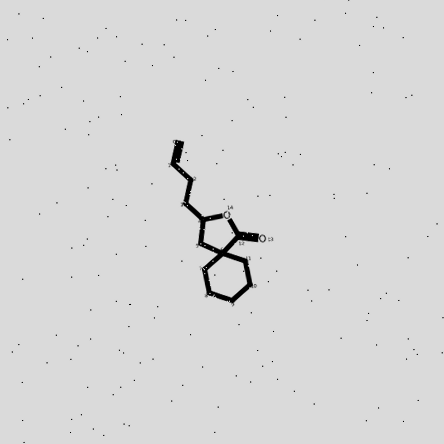 C=CCCC1CC2(CCCCC2)C(=O)O1